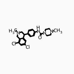 CN1CCN(C(=O)Nc2ccc(C3CN(C)Cc4c(Cl)cc(Cl)cc43)cc2)CC1